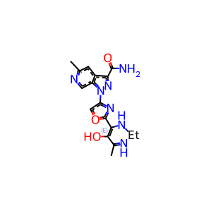 CCN/C(=C(/O)C(C)=N)c1nc(-n2nc(C(N)=O)c3cc(C)ncc32)co1